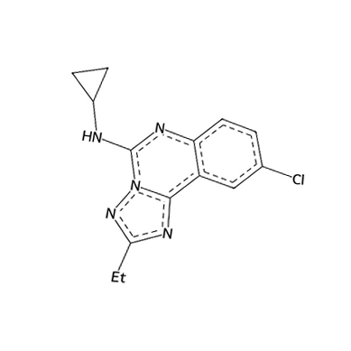 CCc1nc2c3cc(Cl)ccc3nc(NC3CC3)n2n1